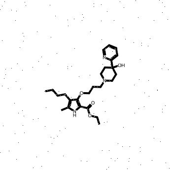 CCCCc1c(C)[nH]c(C(=O)OCC)c1OCCCN1CCC(O)(c2ccccn2)CC1